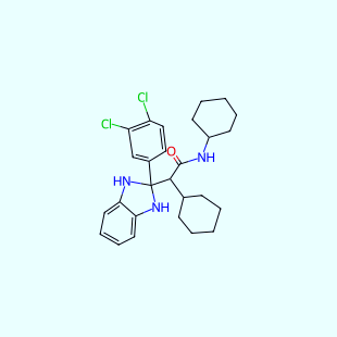 O=C(NC1CCCCC1)C(C1CCCCC1)C1(c2ccc(Cl)c(Cl)c2)Nc2ccccc2N1